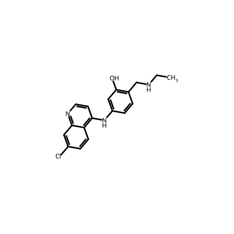 CCNCc1ccc(Nc2ccnc3cc(Cl)ccc23)cc1O